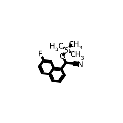 C[Si](C)(C)OC(C#N)c1cccc2ccc(F)cc12